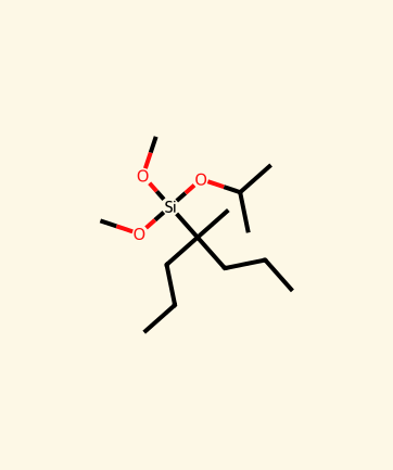 CCCC(C)(CCC)[Si](OC)(OC)OC(C)C